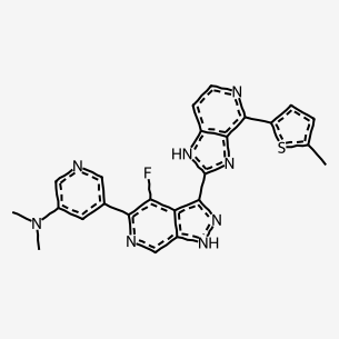 Cc1ccc(-c2nccc3[nH]c(-c4n[nH]c5cnc(-c6cncc(N(C)C)c6)c(F)c45)nc23)s1